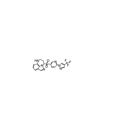 O=S(=O)(c1ccc(-n2cc(C(F)(F)F)cn2)nc1)C1CCNc2cccc3cnn1c23